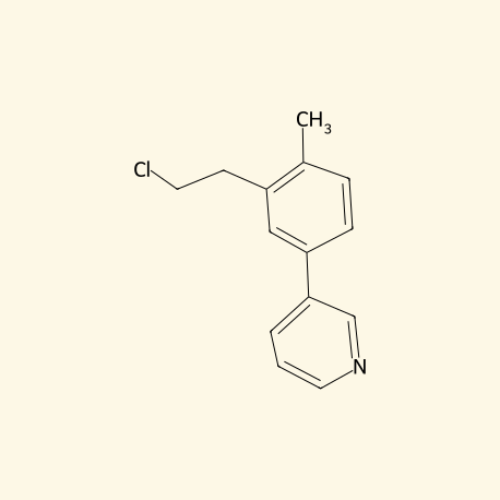 Cc1ccc(-c2cccnc2)cc1CCCl